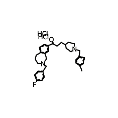 Cc1ccc(CN2CCC(CCC(=O)c3ccc4c(c3)CN(Cc3ccc(F)cc3)CCC4)CC2)cc1.Cl.Cl